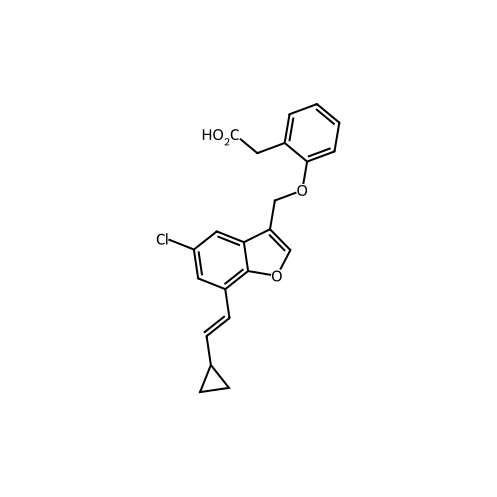 O=C(O)Cc1ccccc1OCc1coc2c(C=CC3CC3)cc(Cl)cc12